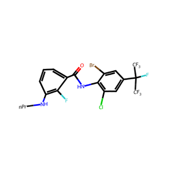 CCCNc1cccc(C(=O)Nc2c(Cl)cc(C(F)(C(F)(F)F)C(F)(F)F)cc2Br)c1F